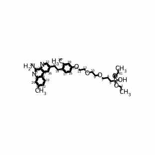 CCO[PH](O)(CCCOCCOCCOc1ccc(CCc2cnc3c(N)nc4cc(C)ccc4c3c2)c(C)c1)OCC